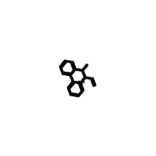 C=CC1C(C)c2ccccc2-c2cccc[n+]21